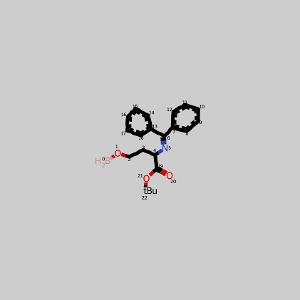 BOCCC(N=C(c1ccccc1)c1ccccc1)C(=O)OC(C)(C)C